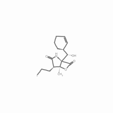 C[C@@]12OC(=O)[C@]1([C@@H](O)[C@@H]1C=CCCC1)NC(=O)[C@@H]2CCI